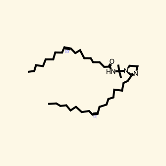 CCCCCCCC/C=C\CCCCCCCCC1=NCCN1C(C)(C)NC(=O)CCCCCCC/C=C\CCCCCCCC